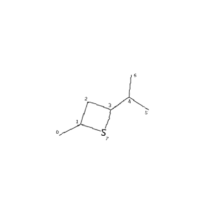 CC1CC(C(C)C)S1